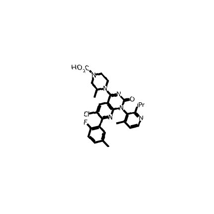 Cc1ccc(F)c(-c2nc3c(cc2Cl)c(N2CCN(C(=O)O)CC2C)nc(=O)n3-c2c(C)ccnc2C(C)C)c1